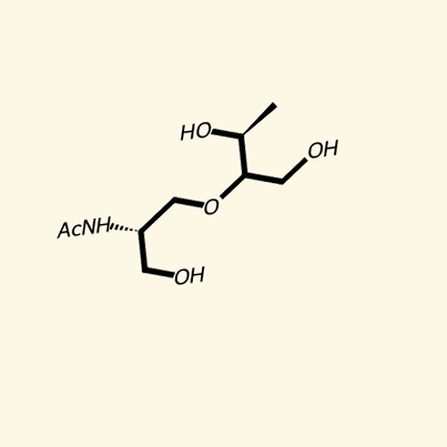 CC(=O)N[C@@H](CO)COC(CO)[C@H](C)O